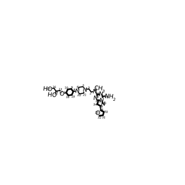 CN(CCN1CCN(c2ccc(OCC(O)CO)cc2)CC1)c1nc(N)n2nc(-c3ccco3)cc2n1